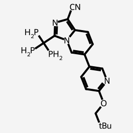 CC(C)(C)COc1ccc(-c2ccc3c(C#N)nc(C(P)(P)P)n3c2)cn1